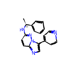 C[C@H](Nc1ccc2ncc(-c3ccncc3)n2n1)c1ccccc1